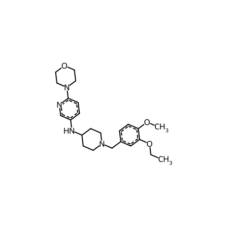 CCOc1cc(CN2CCC(Nc3ccc(N4CCOCC4)nc3)CC2)ccc1OC